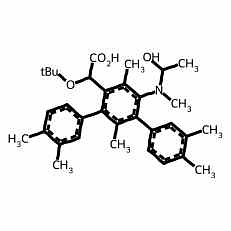 Cc1ccc(-c2c(C)c(-c3ccc(C)c(C)c3)c(N(C)C(C)O)c(C)c2C(OC(C)(C)C)C(=O)O)cc1C